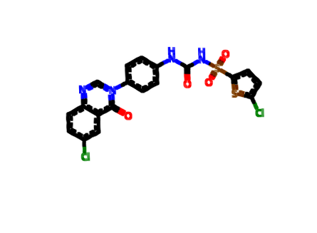 O=C(Nc1ccc(-n2cnc3ccc(Cl)cc3c2=O)cc1)NS(=O)(=O)c1ccc(Cl)s1